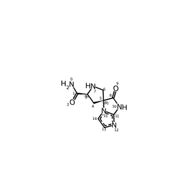 NC(=O)[C@@H]1C[C@@]2(CN1)C(=O)Nc1nccn12